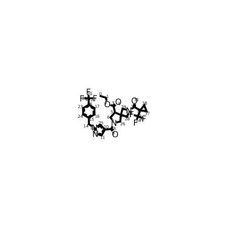 CCOC(=O)C1CN(C(=O)c2cnn(Cc3ccc(C(F)(F)F)cc3)c2)CC12CN(C(=O)C1(C(F)(F)F)CC1)C2